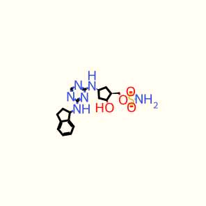 NS(=O)(=O)OC[C@@H]1C[C@@H](Nc2ncnc(NC3CCc4ccccc43)n2)C[C@@H]1O